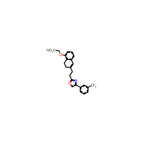 O=C(O)COc1cccc2c1CCC(CCc1nc(-c3cccc(C(F)(F)F)c3)co1)=C2